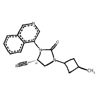 CC1CC(N2C[C@H](C#N)N(c3cncc4ccccc34)C2=O)C1